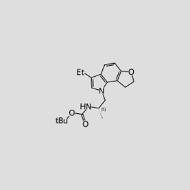 CCc1cn(C[C@H](C)NC(=O)OC(C)(C)C)c2c3c(ccc12)OCC3